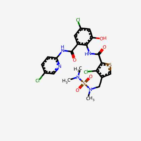 CN(C)S(=O)(=O)N(C)Cc1csc(C(=O)Nc2c(O)cc(Cl)cc2C(=O)Nc2ccc(Cl)cn2)c1Cl